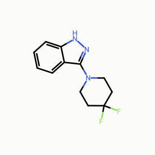 FC1(F)CCN(c2n[nH]c3ccccc23)CC1